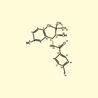 CC1(C)Oc2ccc(C#N)cc2[C@@H](NC(=O)c2ccc(F)cc2)[C@@H]1O